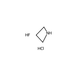 C1CNC1.Cl.F